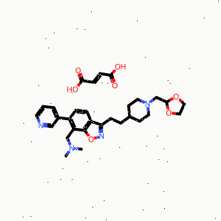 CN(C)Cc1c(-c2cccnc2)ccc2c(CCC3CCN(CC4OCCO4)CC3)noc12.O=C(O)C=CC(=O)O